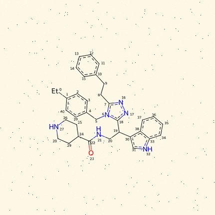 CCc1ccc(Cn2c(CCc3ccccc3)nnc2C(CNC(=O)C2CCNCC2)c2c[nH]c3ccccc23)cc1